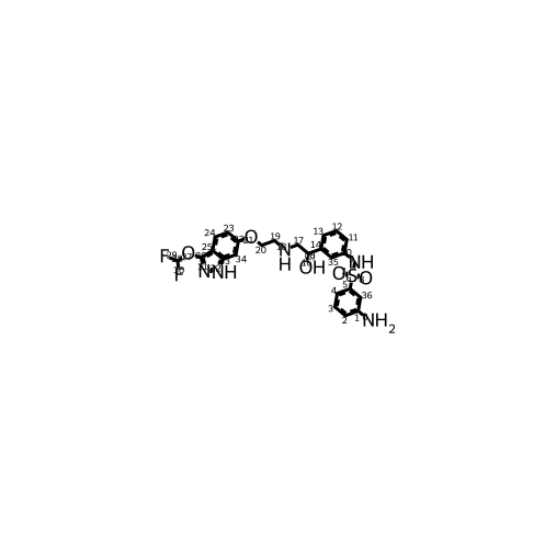 Nc1cccc(S(=O)(=O)Nc2cccc([C@@H](O)CNCCOc3ccc4c(OC(F)F)n[nH]c4c3)c2)c1